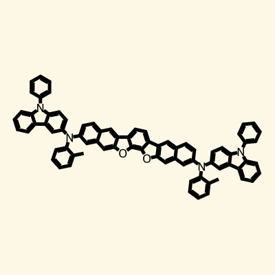 Cc1ccccc1N(c1ccc2cc3c(cc2c1)oc1c3ccc2c3cc4ccc(N(c5ccc6c(c5)c5ccccc5n6-c5ccccc5)c5ccccc5C)cc4cc3oc21)c1ccc2c(c1)c1ccccc1n2-c1ccccc1